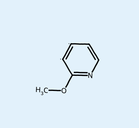 COc1[c][c]ccn1